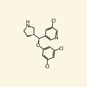 Clc1cc(Cl)cc(O[C@H](c2cncc(Cl)c2)[C@H]2CCNC2)c1